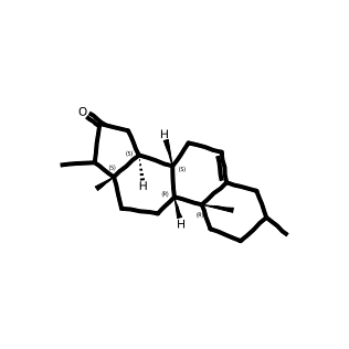 CC1CC[C@@]2(C)C(=CC[C@@H]3[C@H]2CC[C@]2(C)C(C)C(=O)C[C@@H]32)C1